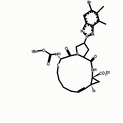 CCOC(=O)[C@@]12C[C@H]1/C=C\CCCCC[C@H](NC(=O)OC(C)(C)C)C(=O)N1CC(n3nc4cc(Br)c(C)c(C)c4n3)CC1C(=O)N2